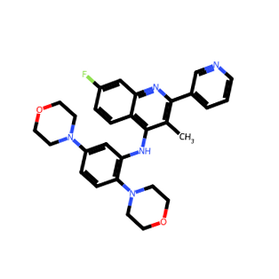 Cc1c(-c2cccnc2)nc2cc(F)ccc2c1Nc1cc(N2CCOCC2)ccc1N1CCOCC1